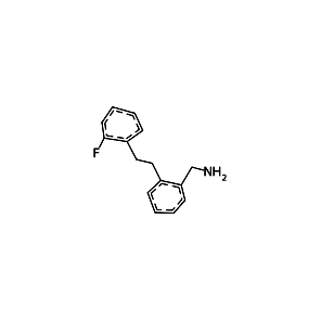 NCc1ccccc1CCc1ccccc1F